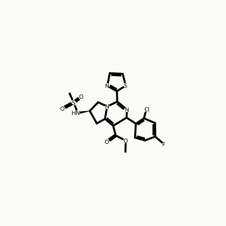 COC(=O)C1=C2C[C@@H](NS(C)(=O)=O)CN2C(c2nccs2)=NC1c1ccc(F)cc1Cl